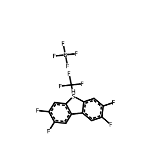 F[B-](F)(F)F.Fc1cc2c(cc1F)[SH](C(F)(F)F)c1cc(F)c(F)cc1-2